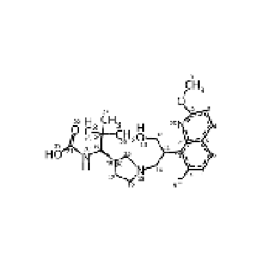 COc1ccc2ccc(F)c(C(CO)CN3CC[C@@H](C(NC(=O)O)C(C)(C)C)C3)c2n1